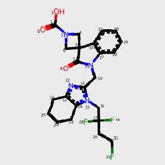 O=C(O)N1CC2(C1)C(=O)N(Cc1nc3c(n1CC(F)(F)CCF)CCCC3)c1ccccc12